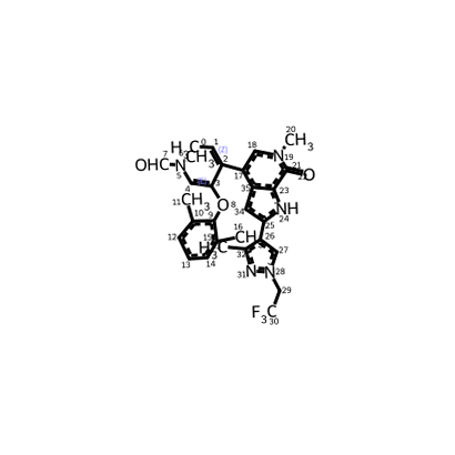 C/C=C(\C(=C/N(C)C=O)Oc1c(C)cccc1C)c1cn(C)c(=O)c2[nH]c(-c3cn(CC(F)(F)F)nc3C)cc12